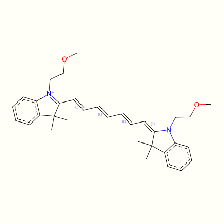 COCCN1/C(=C/C=C/C=C/C=C/C2=[N+](CCOC)c3ccccc3C2(C)C)C(C)(C)c2ccccc21